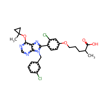 CC(CCCOc1ccc(-c2nc3c(OC4(C)CC4)ncnc3n2Cc2cccc(Cl)c2)c(Cl)c1)C(=O)O